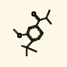 COc1cc(C(=O)C(C)C)ccc1C(C)(C)C